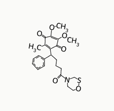 COC1=C(OC)C(=O)C(C(CCCC(=O)N2CCOSC2)c2ccccc2)=C(C)C1=O